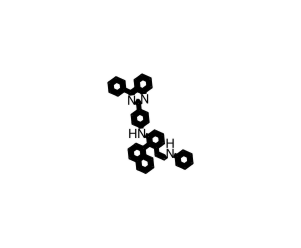 C(=C/c1cccc(Nc2ccc(-c3nc(-c4ccccc4)c4ccccc4n3)cc2)c1-c1cccc2ccccc12)/Nc1ccccc1